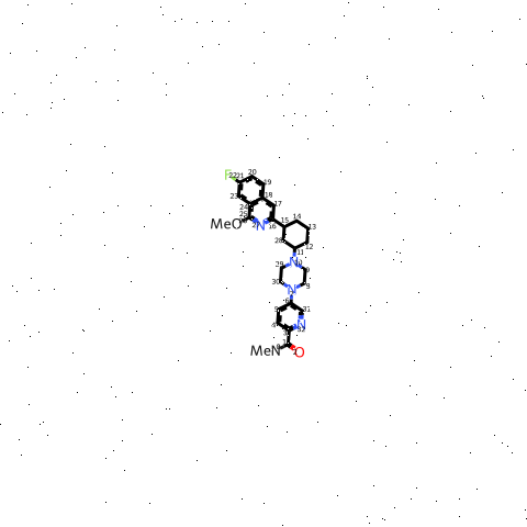 CNC(=O)c1ccc(N2CCN(C3CCCC(c4cc5ccc(F)cc5c(OC)n4)C3)CC2)cn1